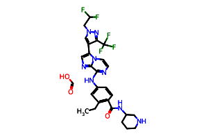 CCc1cc(Nc2nccn3c(-c4cn(CC(F)F)nc4C(F)(F)F)cnc23)ccc1C(=O)NC1CCCNC1.O=CO